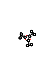 Cc1cc(-n2c3ccccc3c3ccccc32)cc(C)c1B(c1c(C)cc(-n2c3ccccc3c3ccccc32)cc1C)c1c(C)cc(-n2c3ccccc3c3ccccc32)cc1C